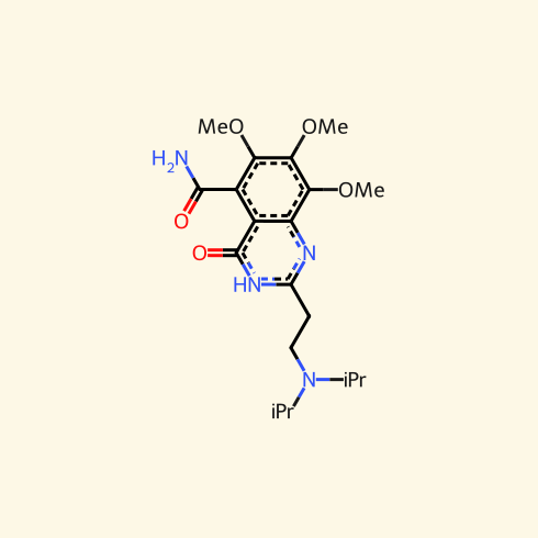 COc1c(OC)c(C(N)=O)c2c(=O)[nH]c(CCN(C(C)C)C(C)C)nc2c1OC